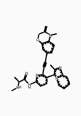 C=C1COc2cc(C#Cc3nc(NC(=O)C(C)NC)ccc3-c3c(C)nc4ccccn34)ccc2N1C